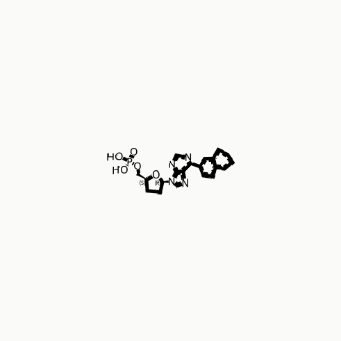 O=P(O)(O)OC[C@@H]1CC[C@H](n2cnc3c(-c4ccc5ccccc5c4)ncnc32)O1